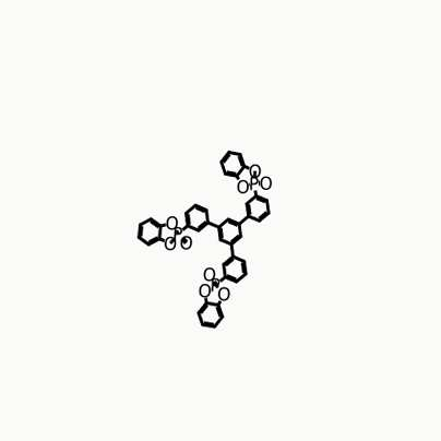 O=P1(c2cccc(-c3cc(-c4cccc(P5(=O)Oc6ccccc6O5)c4)cc(-c4cccc(P5(=O)Oc6ccccc6O5)c4)c3)c2)Oc2ccccc2O1